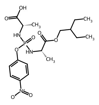 CCC(CC)COC(=O)[C@H](C)NP(=O)(N[C@@H](C)C(=O)O)Oc1ccc([N+](=O)[O-])cc1